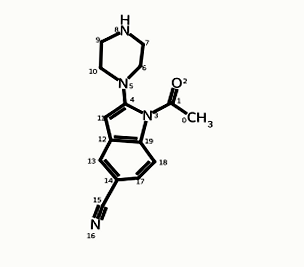 CC(=O)n1c(N2CCNCC2)cc2cc(C#N)ccc21